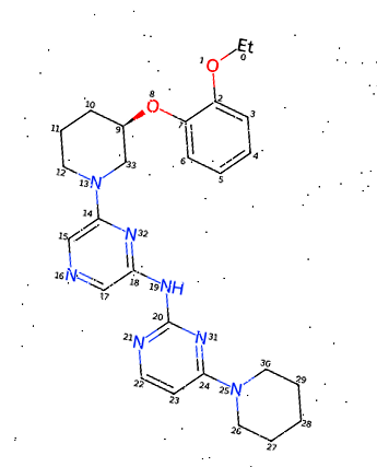 CCOc1ccccc1O[C@@H]1CCCN(c2cncc(Nc3nccc(N4CCCCC4)n3)n2)C1